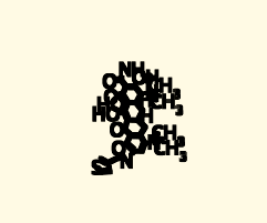 CN(C)c1cc2nc(-c3ccsc3)oc2c2c1C[C@H]1C[C@H]3[C@H](N(C)C)C(O)=C(C(N)=O)C(=O)[C@@]3(O)C(O)=C1C2=O